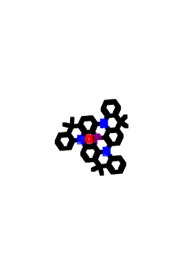 CC1(C)c2ccccc2N2c3ccc4c5c3P3(=O)c6c(ccc1c62)N1c2ccccc2C(C)(C)c2ccc(c3c21)N5c1ccccc1C4(C)C